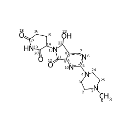 CN1CCN(c2ncc3c(n2)C(=O)N(C2CCC(=O)NC2=O)C3O)CC1